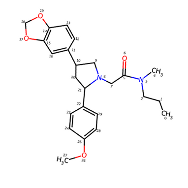 CCCN(C)C(=O)CN1CC(c2ccc3c(c2)OCO3)CC1c1ccc(OC)cc1